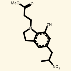 COC(=O)CCN1CCc2cc(CC(C)[N+](=O)[O-])cc(C#N)c21